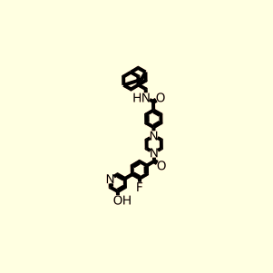 O=C(NCC12CC3CC(CC(C3)C1)C2)c1ccc(N2CCN(C(=O)c3ccc(-c4cncc(O)c4)c(F)c3)CC2)cc1